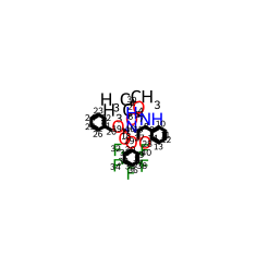 CC(C)(C)OC(=O)N[C@H](c1ccccc1)[C@H](NC(=O)OCc1ccccc1)C(=O)Oc1c(F)c(F)c(F)c(F)c1F